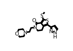 CSc1sc(-c2cc[nH]n2)c2c1C(=O)N(CCN1CCOCC1)CC2